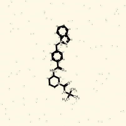 CC(C)(C)OC(=O)N1CCCC(NC(=O)c2ccc(Cn3ncc4ccccc43)cc2)C1